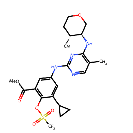 COC(=O)c1cc(Nc2ncc(C)c(N[C@@H]3COCC[C@H]3C#N)n2)cc(C2CC2)c1OS(=O)(=O)C(F)(F)F